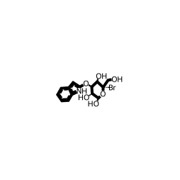 OC[C@@]1(Br)O[C@@H](O)[C@H](O)[C@@H](Oc2cc3ccccc3[nH]2)[C@H]1O